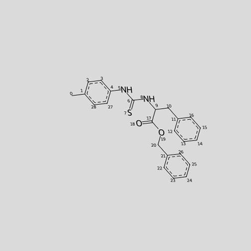 Cc1ccc(NC(=S)NC(Cc2ccccc2)C(=O)OCc2ccccc2)cc1